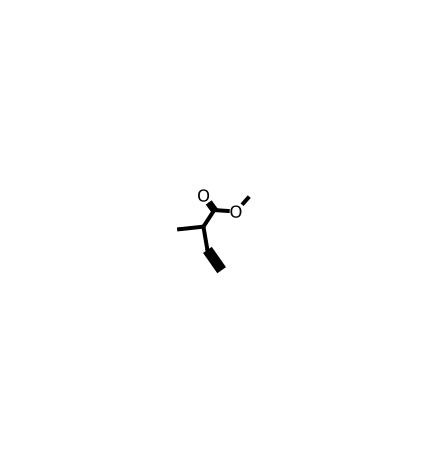 C#CC(C)C(=O)OC